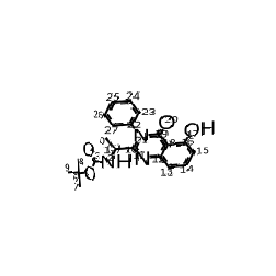 C[C@H](NC(=O)OC(C)(C)C)c1nc2cccc(O)c2c(=O)n1-c1ccccc1